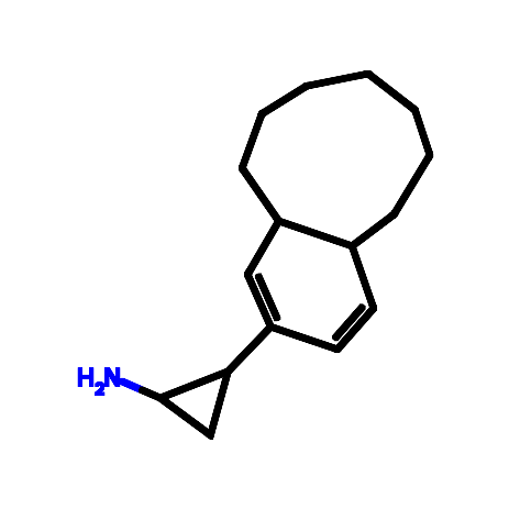 NC1CC1C1=CC2CCCCCCCC2C=C1